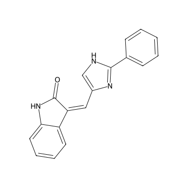 O=C1Nc2ccccc2C1=Cc1c[nH]c(-c2ccccc2)n1